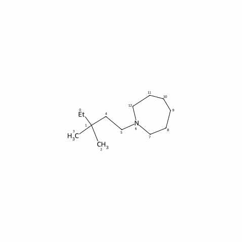 CCC(C)(C)CCN1CCCCCC1